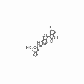 Cn1cncc1C[C@H](NCc1ccc2c(c1)CO/C2=C1/C(=O)Nc2ccc(F)cc21)C(=O)O